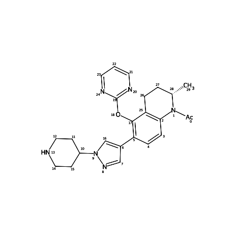 CC(=O)N1c2ccc(-c3cnn(C4CCNCC4)c3)c(Oc3ncccn3)c2CC[C@@H]1C